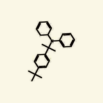 CC(C)(C)c1ccc(C(C)(C)N(c2ccccc2)C2C=CC=CC2)cc1